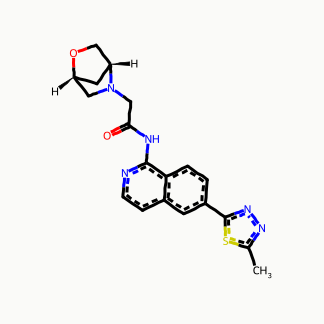 Cc1nnc(-c2ccc3c(NC(=O)CN4C[C@H]5C[C@@H]4CO5)nccc3c2)s1